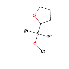 CCO[Si](C(C)C)(C(C)C)C1CCCO1